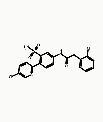 NS(=O)(=O)c1cc(NC(=O)Cc2ccccc2Cl)ccc1-c1ccc(Cl)cn1